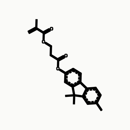 C=C(C)C(=O)OCCC(=O)Oc1ccc2c(c1)C(C)(C)c1cc(C)ccc1-2